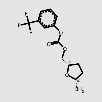 B[C@H]1CC[C@@H](COC(=O)Oc2cccc(C(F)(F)F)c2)O1